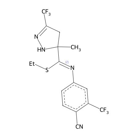 CCS/C(=N\c1ccc(C#N)c(C(F)(F)F)c1)C1(C)CC(C(F)(F)F)=NN1